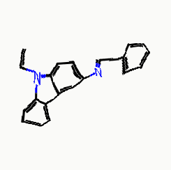 C=Cn1c2ccccc2c2cc(/N=C/c3ccccc3)ccc21